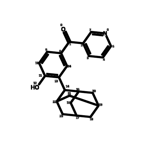 O=C(c1cccnc1)c1ccc(O)c(C2C3CC4CC(C3)CC2C4)c1